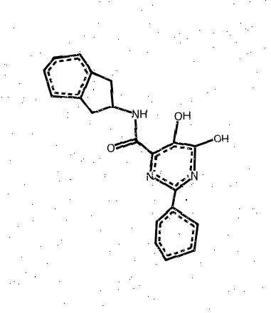 O=C(NC1Cc2ccccc2C1)c1nc(-c2ccccc2)nc(O)c1O